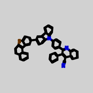 N#Cc1c(-c2ccccc2)c(-c2ccc(-n3c4ccccc4c4cc(-c5ccc6sc7ccc8ccccc8c7c6c5)ccc43)cc2)nc2ccccc12